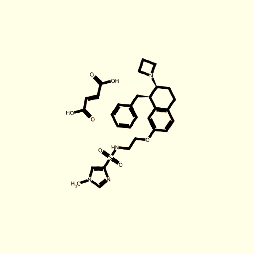 Cn1cnc(S(=O)(=O)NCCOc2ccc3c(c2)[C@@H](Cc2ccccc2)[C@@H](N2CCC2)CC3)c1.O=C(O)/C=C/C(=O)O